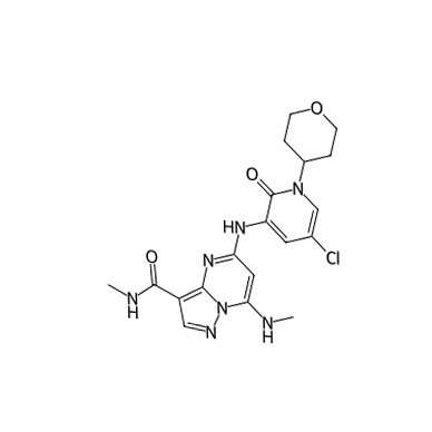 CNC(=O)c1cnn2c(NC)cc(Nc3cc(Cl)cn(C4CCOCC4)c3=O)nc12